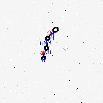 O=C(Nc1ccc(-c2nc3cc(C(=O)NC4CCCCCC4)ccc3[nH]2)cc1)c1ccncc1